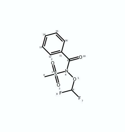 CS(=O)(=O)N(OC(F)F)C(=O)c1ccccc1